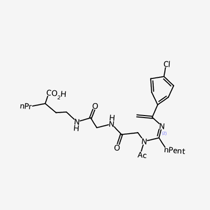 C=C(/N=C(/CCCCC)N(CC(=O)NCC(=O)NCCC(CCC)C(=O)O)C(C)=O)c1ccc(Cl)cc1